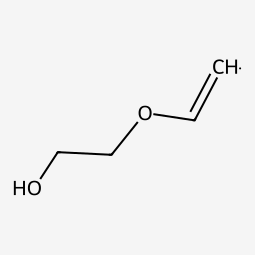 [CH]=COCCO